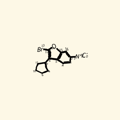 [C-]#[N+]c1ccc2c(C3CCCC3)c(Br)oc2c1